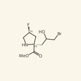 COC(=O)[C@]1(CC(O)CBr)C[C@H](F)CN1